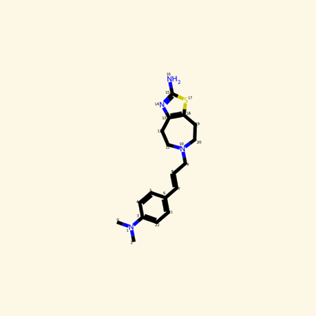 CN(C)c1ccc(C=CCN2CCc3nc(N)sc3CC2)cc1